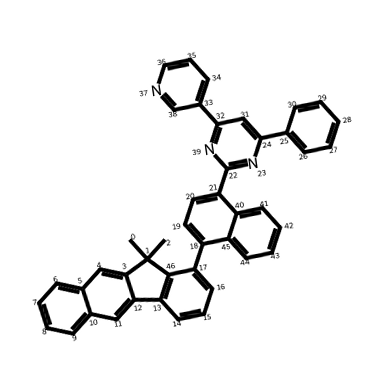 CC1(C)c2cc3ccccc3cc2-c2cccc(-c3ccc(-c4nc(-c5ccccc5)cc(-c5cccnc5)n4)c4ccccc34)c21